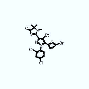 CCc1c(C2=NC(=O)C(C)(C)N2C)nn(-c2ccc(Cl)cc2Cl)c1-c1ccc(Br)s1